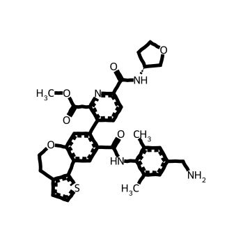 COC(=O)c1nc(C(=O)N[C@@H]2CCOC2)ccc1-c1cc2c(cc1C(=O)Nc1c(C)cc(CN)cc1C)-c1sccc1CCO2